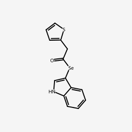 O=C(Cc1cccs1)[Se]c1c[nH]c2ccccc12